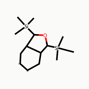 C[Si](C)(C)C1OC([Si](C)(C)C)C2C[C][C]CC21